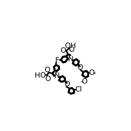 COc1cc(COc2ccc(-n3cc(C(=O)C(=O)O)c4cc(F)ccc43)cc2)cc(OC)c1.Cc1ccc2c(c1)c(C(=O)C(=O)O)cn2-c1ccc(OCc2cccc(Cl)c2)cc1